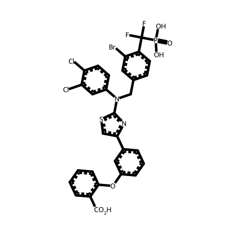 O=C(O)c1ccccc1Oc1cccc(-c2csc(N(Cc3ccc(C(F)(F)P(=O)(O)O)c(Br)c3)c3ccc(Cl)c(Cl)c3)n2)c1